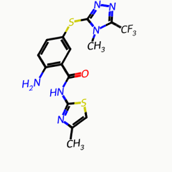 Cc1csc(NC(=O)c2cc(Sc3nnc(C(F)(F)F)n3C)ccc2N)n1